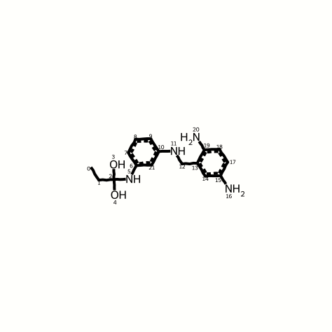 CCC(O)(O)Nc1cccc(NCc2cc(N)ccc2N)c1